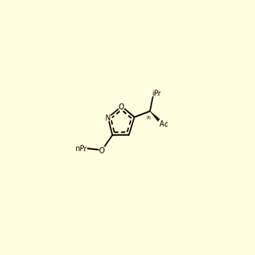 CCCOc1cc([C@H](C(C)=O)C(C)C)on1